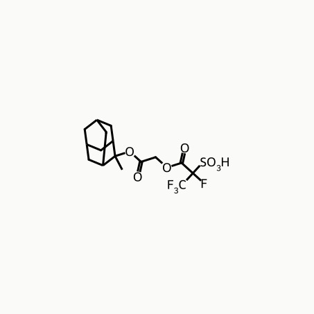 CC1(OC(=O)COC(=O)C(F)(C(F)(F)F)S(=O)(=O)O)C2CC3CC(C2)CC1C3